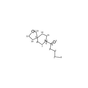 CCCCC(=O)N1CCC2(CCOC2)CC1